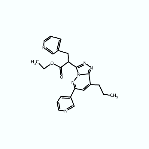 CCCc1cc(-c2cccnc2)nn2c(C(Cc3cccnc3)C(=O)OCC)nnc12